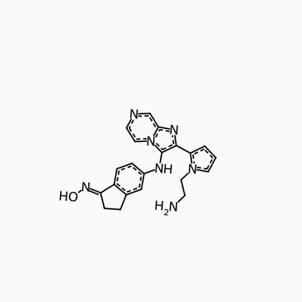 NCCn1cccc1-c1nc2cnccn2c1Nc1ccc2c(c1)CC/C2=N\O